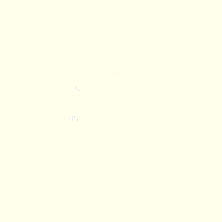 Brc1cnc2[nH]cc3c2c1OC1=C3C=CC=CCC1